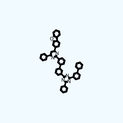 c1ccc(-c2cccc(-c3nc(-c4ccccc4)nc(-c4cccc(-c5cccc(-c6nc(-c7ccccc7)cc(-c7ccc8c(c7)oc7ccccc78)n6)c5)c4)n3)c2)cc1